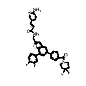 Nc1ccc(/C=C/C(=O)NCc2cc3cc(-c4ccc(C(=O)N5CCC(F)(F)CC5)cc4)cc(-c4ccc(F)c(F)c4)c3o2)cn1